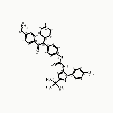 Cc1ccc(-n2nc(C(C)(C)C)cc2NC(=O)Nc2ccc(C(C(=O)c3ccc(CN)cc3)C3CCNCC3)cc2)cc1